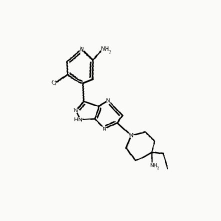 CCC1(N)CCN(c2cnc3c(-c4cc(N)ncc4Cl)n[nH]c3n2)CC1